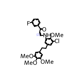 COc1cc(CCc2cc(Cl)c(OC)c(N/C=C\C(=O)c3cccc(F)c3)c2)cc(OC)c1OC